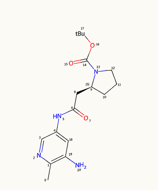 Cc1ncc(NC(=O)C[C@@H]2CCCN2C(=O)OC(C)(C)C)cc1N